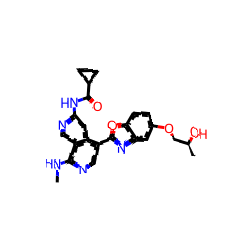 CNc1ncc(-c2nc3cc(OC[C@H](C)O)ccc3o2)c2cc(NC(=O)C3CC3)ncc12